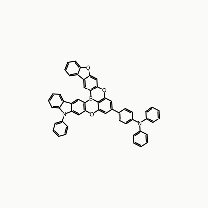 c1ccc(N(c2ccccc2)c2ccc(-c3cc4c5c(c3)Oc3cc6c(cc3B5c3cc5c(cc3O4)oc3ccccc35)c3ccccc3n6-c3ccccc3)cc2)cc1